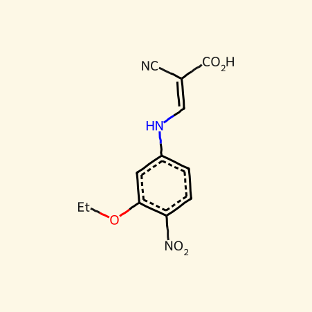 CCOc1cc(N/C=C(\C#N)C(=O)O)ccc1[N+](=O)[O-]